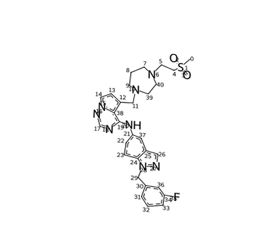 CS(=O)(=O)CCN1CCCN(Cc2ccn3ncnc(Nc4ccc5c(cnn5Cc5cccc(F)c5)c4)c23)CC1